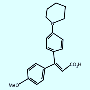 COc1ccc(C(=CC(=O)O)c2ccc(N3CCCCC3)cc2)cc1